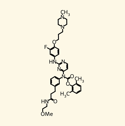 COCCNC(=O)CCc1cccc(N(C(=O)Oc2c(C)cccc2C)c2ccnc(Nc3ccc(OCCCN4CCN(C)CC4)c(F)c3)n2)c1